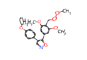 COOCc1c(OC)cc(-c2oncc2-c2ccc(OC)cc2)cc1OC